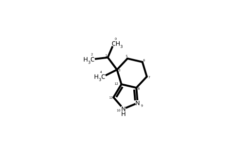 CC(C)C1(C)CCCc2n[nH]cc21